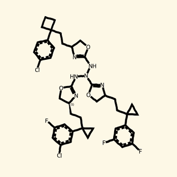 Fc1cc(F)cc(C2(CCC3COC(N(NC4=NC(CCC5(c6ccc(Cl)cc6)CCC5)CO4)NC4=N[C@@H](CCC5(c6cc(F)cc(Cl)c6)CC5)CO4)=N3)CC2)c1